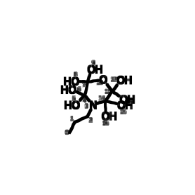 CCCN1C(O)(O)C(O)(O)OC(O)(O)C1(O)O